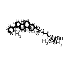 CC(C)(C)[Si](C)(C)OCCCOC(=O)O[C@H]1CC[C@@]2(C)C(=CC[C@@H]3[C@@H]2CC[C@]2(C)C(c4cccnc4)=CC[C@@H]32)C1